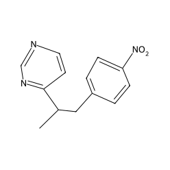 CC(Cc1ccc([N+](=O)[O-])cc1)c1ccncn1